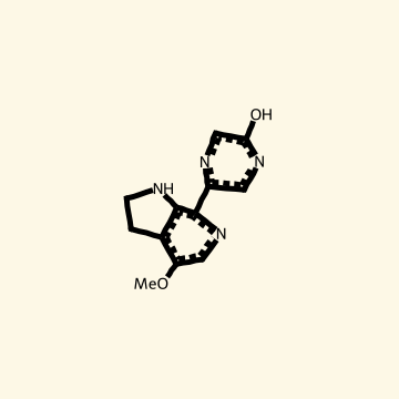 COc1cnc(-c2cnc(O)cn2)c2c1CCN2